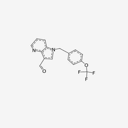 O=Cc1cn(Cc2ccc(OC(F)(F)F)cc2)c2cccnc12